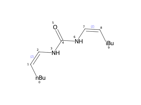 CCCC/C=C\NC(=O)N/C=C\C(C)CC